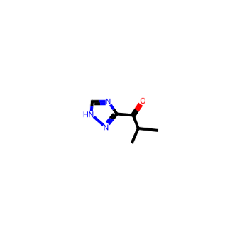 CC(C)C(=O)c1nc[nH]n1